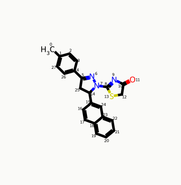 Cc1ccc(C2=NN(C3=NC(=O)CS3)C(c3ccc4ccccc4c3)C2)cc1